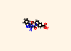 O=C(O)c1ccc2c(c1)CCCN2C(=O)N1NNN(c2ccccc2)C1=O